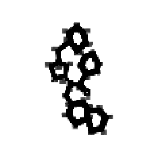 O=C(c1ccccc1)N(Cc1ccc2ccccc2c1)[C@@H]1CCN(Cc2ccccc2)C1